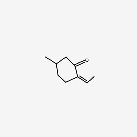 C/C=C1/CCC(C)CC1=O